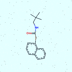 CC(C)(C)CNC(=O)Sc1cccc2ccccc12